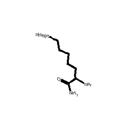 CCCCCCCCCCCCC(CCC)C(N)=O